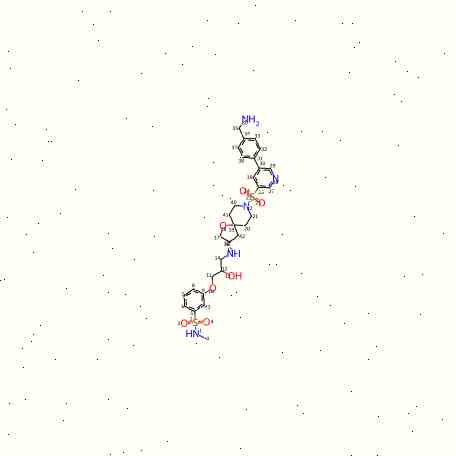 CNS(=O)(=O)c1cccc(OCC(O)CN[C@@H]2COC3(CCN(S(=O)(=O)c4cncc(-c5ccc(CN)cc5)c4)CC3)C2)c1